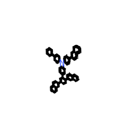 c1ccc(-c2ccc(N(c3ccc(-c4ccc5ccccc5c4)cc3)c3ccc(-c4cc(-c5ccc6ccccc6c5)ccc4-c4ccc5ccccc5c4)cc3)cc2)cc1